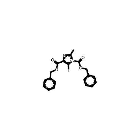 Cc1nc(C(=O)OCc2ccccc2)c(I)n1C(=O)OCc1ccccc1